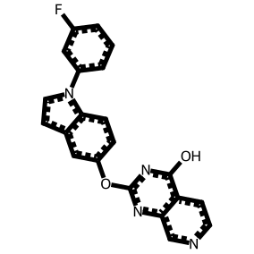 Oc1nc(Oc2ccc3c(ccn3-c3cccc(F)c3)c2)nc2cnccc12